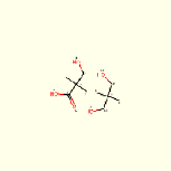 CC(C)(CO)C(=O)O.CC(C)(CO)CO